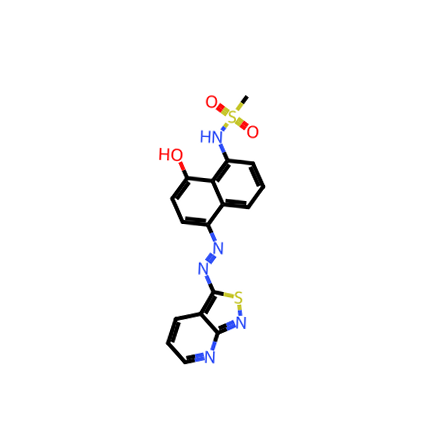 CS(=O)(=O)Nc1cccc2c(/N=N/c3snc4ncccc34)ccc(O)c12